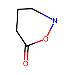 O=C1CCC[N]O1